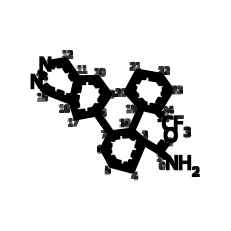 NC(=O)c1cccc(-c2ccc3cnncc3c2)c1-c1ccccc1C(F)(F)F